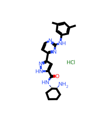 Cc1cc(C)cc(Nc2nccc(-c3cc(C(=O)N[C@H]4CCCC[C@H]4N)[nH]n3)n2)c1.Cl